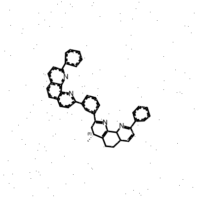 C[C@@H]1CC(c2cccc(-c3ccc4ccc5ccc(-c6ccccc6)nc5c4n3)c2)=NC2=C1CCC1C=CC(c3ccccc3)=NC21